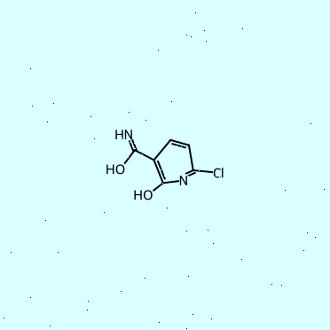 N=C(O)c1ccc(Cl)nc1O